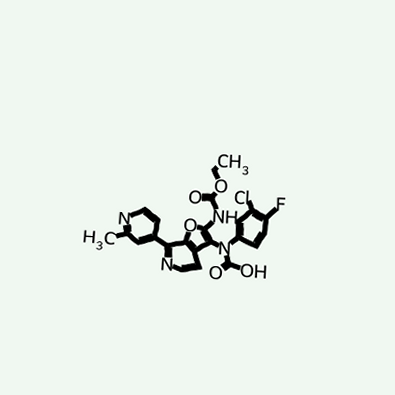 CCOC(=O)Nc1oc2c(-c3ccnc(C)c3)nccc2c1N(C(=O)O)c1ccc(F)c(Cl)c1